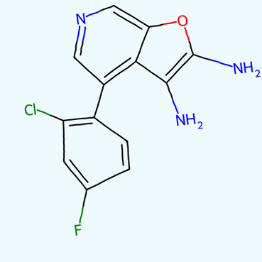 Nc1oc2cncc(-c3ccc(F)cc3Cl)c2c1N